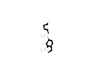 Clc1ccc(CNc2ccc3cc[nH]c3c2)s1